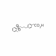 Cc1ccccc1S(=O)(=O)CCCCc1ccc(CC(=O)O)cc1